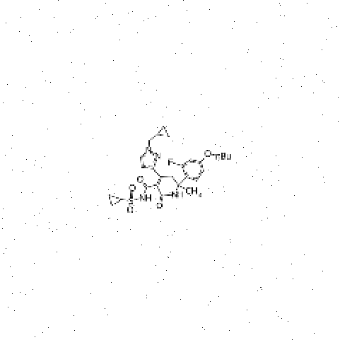 CCCCOc1ccc(C2(C)CC(c3ccn(CC4CC4)n3)=C(C(=O)NS(=O)(=O)C3CC3)C(=O)N2)c(F)c1